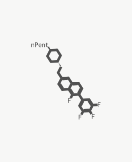 CCCCC[C@H]1CC[C@H](CCc2ccc3c(F)c(-c4cc(F)c(F)c(F)c4)ccc3c2)CC1